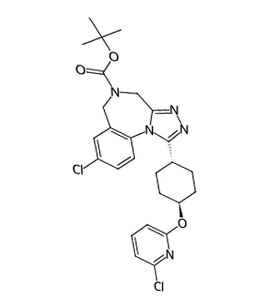 CC(C)(C)OC(=O)N1Cc2cc(Cl)ccc2-n2c(nnc2[C@H]2CC[C@H](Oc3cccc(Cl)n3)CC2)C1